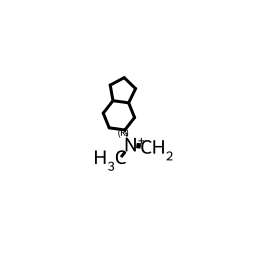 C=[N+](C)[C@@H]1CCC2CCCC2C1